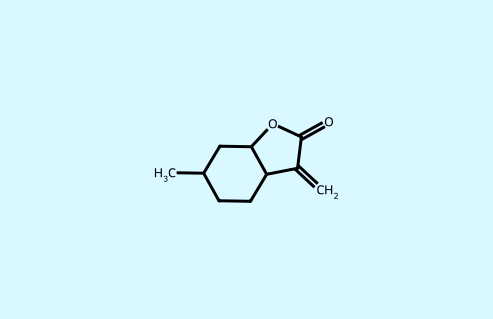 C=C1C(=O)OC2CC(C)CCC12